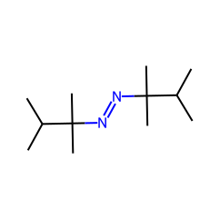 CC(C)C(C)(C)N=NC(C)(C)C(C)C